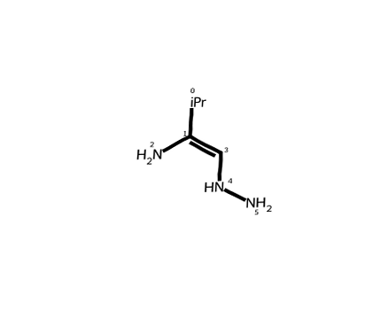 CC(C)/C(N)=C/NN